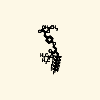 CCOC(Cc1ccc(OCCN(CC(F)(F)C(F)(F)C(F)(F)C(F)(F)C(F)(F)F)C(=O)OC(C)C)cc1)C(=O)O